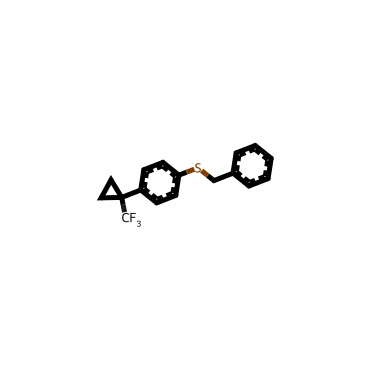 FC(F)(F)C1(c2ccc(SCc3ccccc3)cc2)CC1